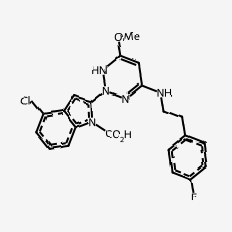 COC1=CC(NCCc2ccc(F)cc2)=NN(c2cc3c(Cl)cccc3n2C(=O)O)N1